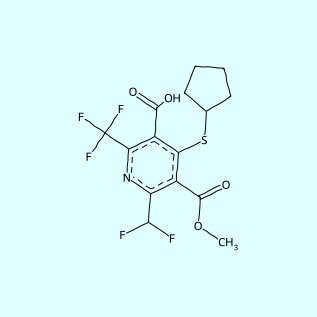 COC(=O)c1c(C(F)F)nc(C(F)(F)F)c(C(=O)O)c1SC1CCCC1